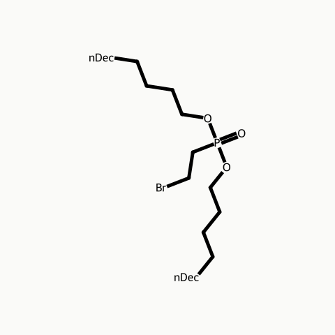 CCCCCCCCCCCCCCOP(=O)(CCBr)OCCCCCCCCCCCCCC